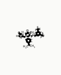 CC(C)c1ccc([C@H]2[C@@H](COCc3cc(C(F)(F)F)cc(C(F)(F)F)c3)N(C)C(=O)CN2Cc2n[nH]c(=O)[nH]2)cc1